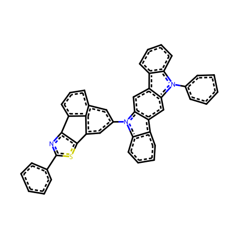 c1ccc(-c2nc3c(s2)-c2cc(-n4c5ccccc5c5cc6c(cc54)c4ccccc4n6-c4ccccc4)cc4cccc-3c24)cc1